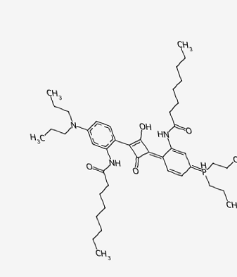 CCCCCCCC(=O)NC1=CC(=[PH](CCC)CCC)C=C/C1=C1\C(=O)C(c2ccc(N(CCC)CCC)cc2NC(=O)CCCCCCC)=C1O